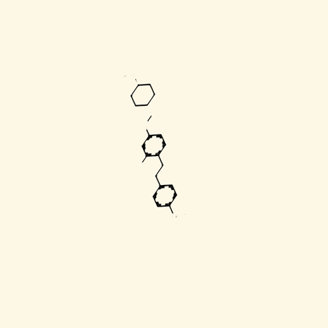 CCCCCc1ccc(CCc2ccc(OC[C@H]3CC[C@H](CCCCC)CC3)cc2F)cc1